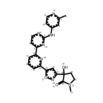 Cc1cc(Nc2nccc(-c3cccc(-c4cc(C5(O)CCN(C)C5=O)no4)n3)n2)ccn1